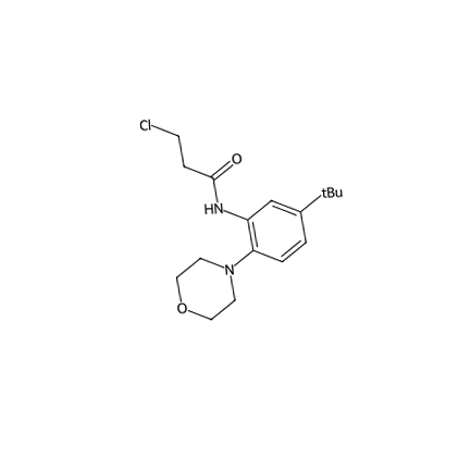 CC(C)(C)c1ccc(N2CCOCC2)c(NC(=O)CCCl)c1